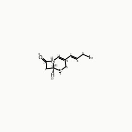 O=C1C[C@H]2SCC(C=CCI)=CN12